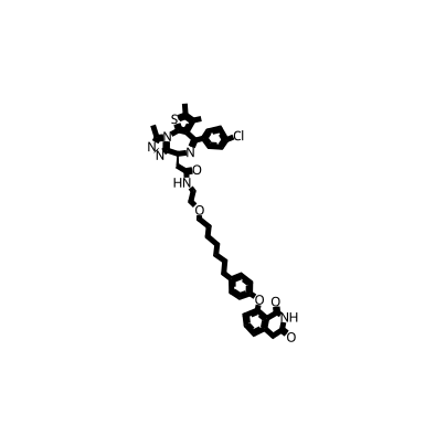 Cc1sc2c(c1C)C(c1ccc(Cl)cc1)=N[C@@H](CC(=O)NCCOCCCCCCCc1ccc(Oc3cccc4c3C(=O)NC(=O)C4)cc1)c1nnc(C)n1-2